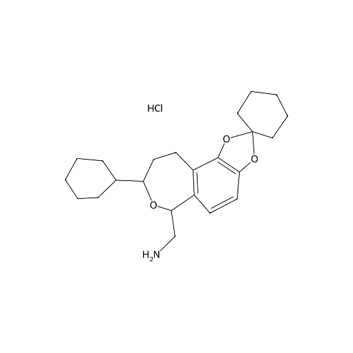 Cl.NCC1OC(C2CCCCC2)CCc2c1ccc1c2OC2(CCCCC2)O1